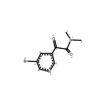 CN(C)C(=O)C(=O)c1cncc(Br)c1